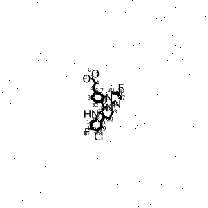 COC(=O)CCc1ccc(C2c3[nH]c4cc(F)c(Cl)cc4c3CCN2c2ncc(F)cn2)cc1